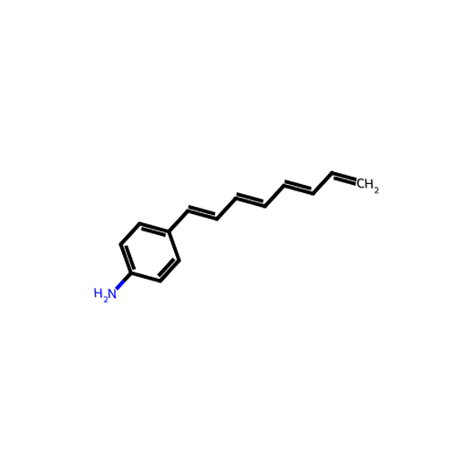 C=CC=CC=CC=Cc1ccc(N)cc1